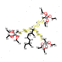 CCO[Si](CSSSSC(SSSSC[Si](OCC)(OCC)OCC)(SSSSC[Si](OCC)(OCC)OCC)C(C)CCCC(C)CC)(OCC)OCC